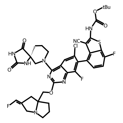 CC(C)(C)OC(=O)Nc1sc2c(F)ccc(-c3c(Cl)cc4c(N5CCC[C@]6(C5)NC(=O)NC6=O)nc(OCC56CCCN5C/C(=C\F)C6)nc4c3F)c2c1C#N